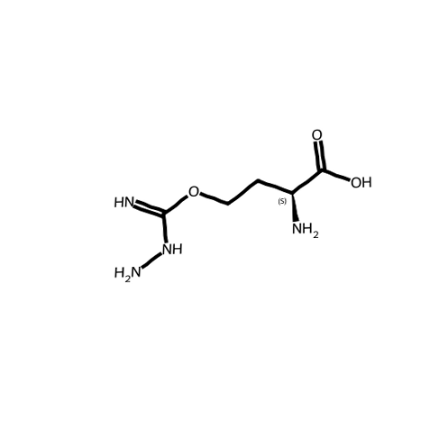 N=C(NN)OCC[C@H](N)C(=O)O